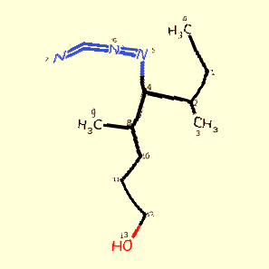 CCC(C)C(N=[N+]=[N-])C(C)CCCO